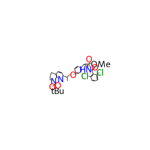 COC(=O)[C@H](Cc1ccc(OCC(C)c2ccc3c(n2)N(C(=O)OC(C)(C)C)CCC3)cc1)NC(=O)c1c(Cl)cccc1Cl